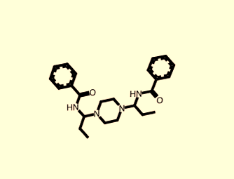 CCC(NC(=O)c1ccccc1)N1CCN(C(CC)NC(=O)c2ccccc2)CC1